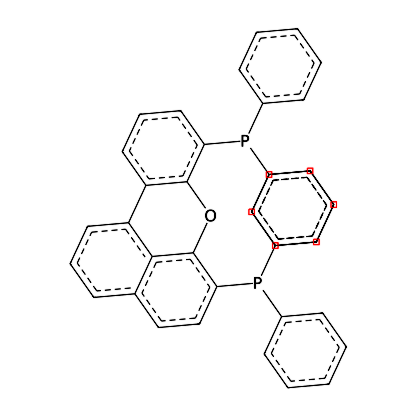 c1ccc(P(c2ccccc2)c2cccc3c2Oc2c(P(c4ccccc4)c4ccccc4)ccc4cccc-3c24)cc1